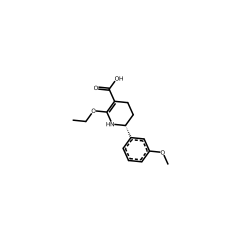 CCOC1=C(C(=O)O)CC[C@H](c2cccc(OC)c2)N1